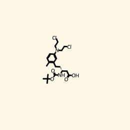 Cc1ccc(N(CCCl)CCCl)cc1CC[C@H](CC(=O)O)NC(=O)OC(C)(C)C